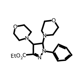 CCOC(=O)C1=NN(c2ccccc2)C(N2CCOCC2)C1N1CCOCC1